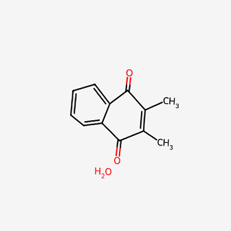 CC1=C(C)C(=O)c2ccccc2C1=O.O